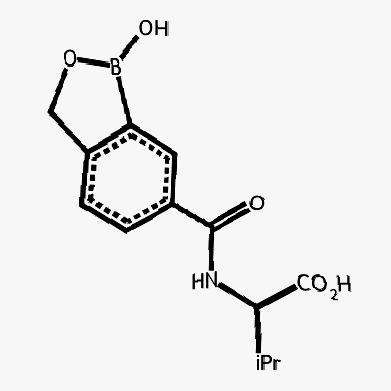 CC(C)C(NC(=O)c1ccc2c(c1)B(O)OC2)C(=O)O